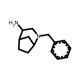 NC1CN(Cc2ccccc2)C2CCC1C2